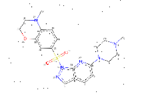 CN1CCN(c2ccc3cnn(S(=O)(=O)c4ccc5c(c4)OCCN5C)c3n2)CC1